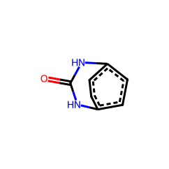 O=C1Nc2ccc(cc2)N1